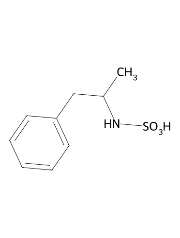 CC(Cc1ccccc1)NS(=O)(=O)O